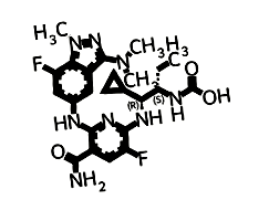 CC[C@H](NC(=O)O)[C@H](Nc1nc(Nc2cc(F)c3c(c2)c(N(C)C)nn3C)c(C(N)=O)cc1F)C1CC1